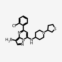 Bc1cnn2c(NC3CCN(C4CCSC4)CC3)cc(-c3ccccc3Cl)nc12